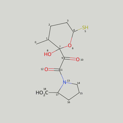 CC1CCC(S)OC1(O)C(=O)C(=O)N1CCCC1C(=O)O